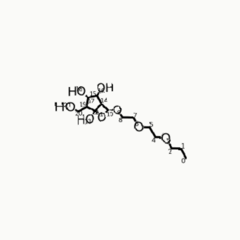 CCCOCCOCCO[C@H]1OC2(O)C1C(O)[C@H](O)C2CO